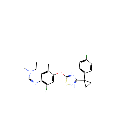 CCN(C)/C=N\c1cc(C)c(Oc2nc(C3(c4ccc(Cl)cc4)CC3)ns2)cc1Cl